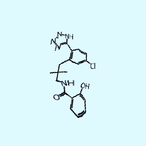 CC(C)(CNC(=O)c1ccccc1O)Cc1cc(Cl)ccc1-c1nnn[nH]1